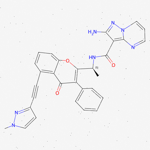 C[C@H](NC(=O)c1c(N)nn2cccnc12)c1oc2cccc(C#Cc3ccn(C)n3)c2c(=O)c1-c1ccccc1